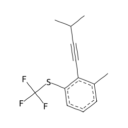 Cc1cccc(SC(F)(F)F)c1C#CC(C)C